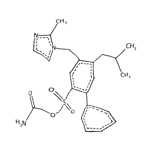 Cc1nccn1Cc1cc(S(=O)(=O)OC(N)=O)c(-c2ccccc2)cc1CC(C)C